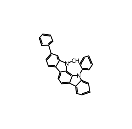 Cn1c2cc(-c3ccccc3)ccc2c2ccc3c4ccccc4n(-c4ccccc4)c3c21